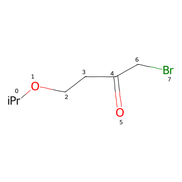 CC(C)OCCC(=O)CBr